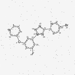 Fc1cc(Oc2cccnc2)cc(-n2nnc(-c3ccc(Br)cn3)n2)c1